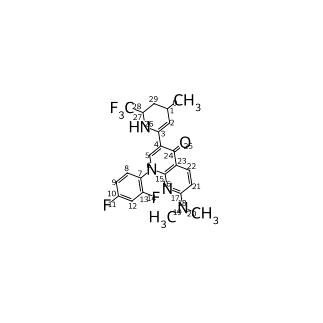 CC1C=C(c2cn(-c3ccc(F)cc3F)c3nc(N(C)C)ccc3c2=O)NC(C(F)(F)F)C1